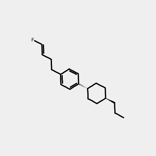 CCC[C@H]1CC[C@H](c2ccc(CCC=CF)cc2)CC1